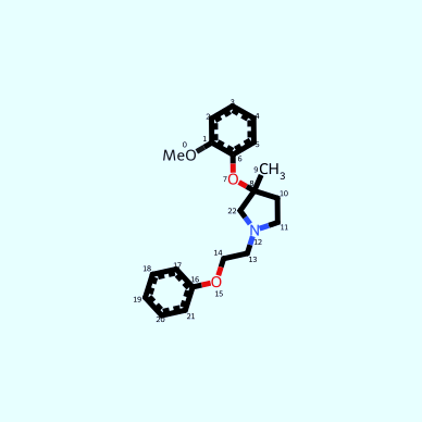 COc1ccccc1OC1(C)CCN(CCOc2ccccc2)C1